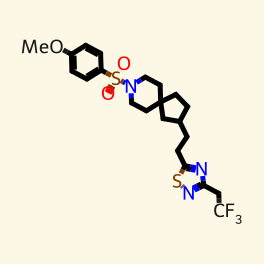 COc1ccc(S(=O)(=O)N2CCC3(CCC(CCc4nc(CC(F)(F)F)ns4)C3)CC2)cc1